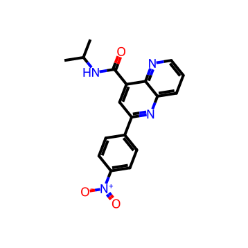 CC(C)NC(=O)c1cc(-c2ccc([N+](=O)[O-])cc2)nc2cccnc12